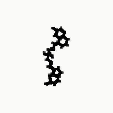 Cc1ccc2c(n1)/C(=N/OCC(C)(C)CO/N=C1\CCc3ccc(C)nc31)CCC2